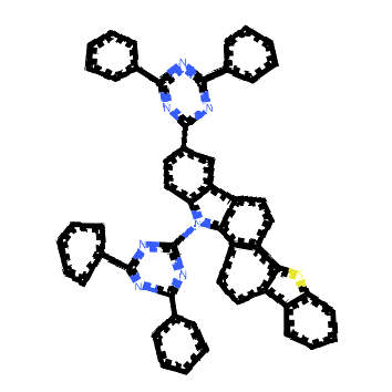 c1ccc(-c2nc(-c3ccccc3)nc(-c3ccc4c(c3)c3ccc5c(ccc6c7ccccc7sc65)c3n4-c3nc(-c4ccccc4)nc(-c4ccccc4)n3)n2)cc1